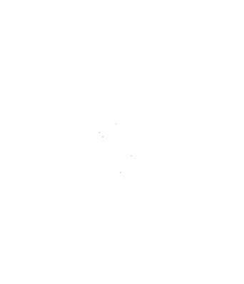 O=C(O)C1N2C(=O)C(NC(c3ccccc3)(c3ccccc3)c3ccccc3)[C@@H]2SC12CCOCC2